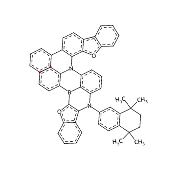 CC1(C)CCC(C)(C)c2cc(N3c4cccc5c4B(c4ccccc4N5c4c(-c5ccccc5)ccc5c4oc4ccccc45)c4oc5ccccc5c43)ccc21